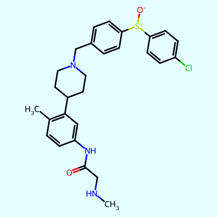 CNCC(=O)Nc1ccc(C)c(C2CCN(Cc3ccc([S+]([O-])c4ccc(Cl)cc4)cc3)CC2)c1